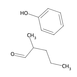 CCCC(C)C=O.Oc1ccccc1